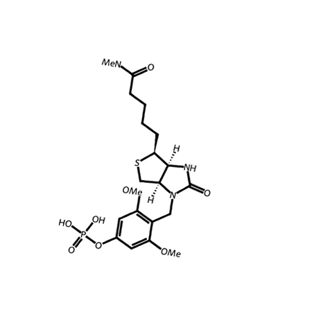 CNC(=O)CCCC[C@@H]1SC[C@H]2[C@@H]1NC(=O)N2Cc1c(OC)cc(OP(=O)(O)O)cc1OC